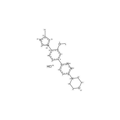 COc1cc(-c2ccc(N3CCOCC3)nn2)ccc1-n1cnc(C)c1.Cl